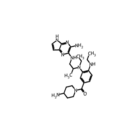 CCNc1ccc(C(=O)N2CCC(N)CC2)cc1N(CC)C(C)CNc1nc2cc[nH]c2nc1N